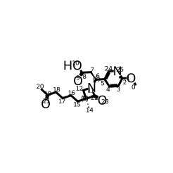 COc1ccc([C@H](CC(=O)O)N2C[C@](C)(CCCCC(C)=O)C2=O)cn1